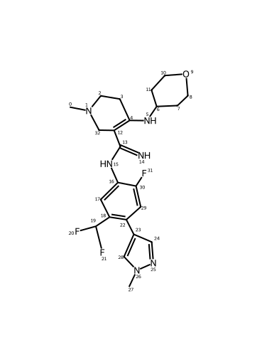 CN1CCC(NC2CCOCC2)=C(C(=N)Nc2cc(C(F)F)c(-c3cnn(C)c3)cc2F)C1